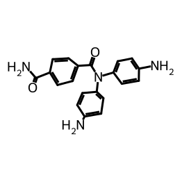 NC(=O)c1ccc(C(=O)N(c2ccc(N)cc2)c2ccc(N)cc2)cc1